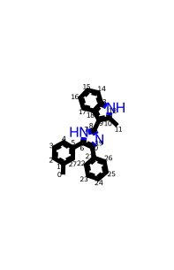 Cc1cccc(-c2[nH]c(-c3c(C)[nH]c4ccccc34)nc2-c2ccccc2)c1